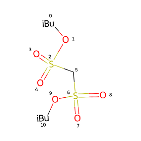 CCC(C)OS(=O)(=O)CS(=O)(=O)OC(C)CC